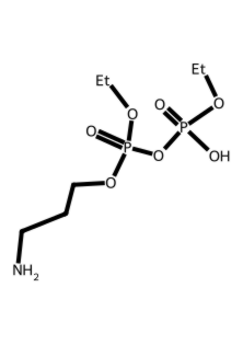 CCOP(=O)(O)OP(=O)(OCC)OCCCN